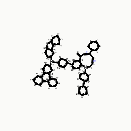 C=C1/C=C(c2ccccc2)\C=C/CN(c2ccc(-c3ccccc3)cc2)c2ccc(-c3ccc(N(c4ccc5sc6ccccc6c5c4)c4ccc5c6ccccc6c6ccccc6c5c4)cc3)cc21